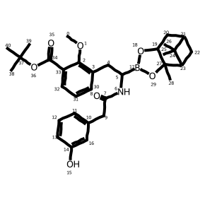 COc1c(CC(NC(=O)Cc2cccc(O)c2)B2OC3CC4CC(C4(C)C)C3(C)O2)cccc1C(=O)OC(C)(C)C